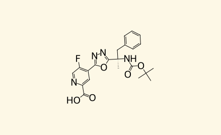 CC(C)(C)OC(=O)N[C@](C)(Cc1ccccc1)c1nnc(-c2cc(C(=O)O)ncc2F)o1